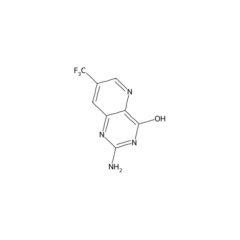 Nc1nc(O)c2ncc(C(F)(F)F)cc2n1